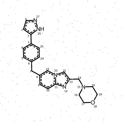 c1cc(-c2ccc(Cc3ccc4nc(CN5CCOCC5)cn4c3)cc2)[nH]n1